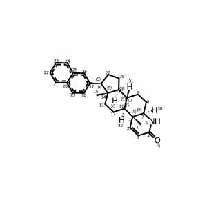 C[C@]12C=CC(=O)N[C@@H]1CC[C@@H]1[C@@H]2CC[C@]2(C)[C@@H](c3ccc4ccccc4c3)CC[C@@H]12